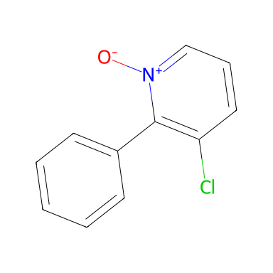 [O-][n+]1cccc(Cl)c1-c1ccccc1